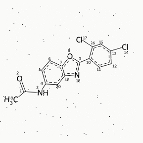 CC(=O)Nc1ccc2oc(-c3ccc(Cl)cc3Cl)nc2c1